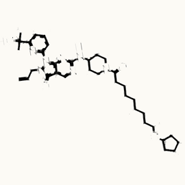 C=CCn1c(=O)c2cnc(NC3CCN(C(=O)CCCCCCCCOC4CCCC4)CC3)nc2n1-c1cccc(C(C)(C)O)n1